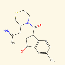 CCCC(=N)CC1CSCCN1C(=O)C1CC(=O)c2cc(C(F)(F)F)ccc21